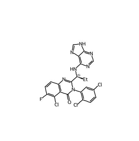 CC[C@H](Nc1ncnc2[nH]cnc12)c1nc2ccc(F)c(Cl)c2c(=O)n1-c1cc(Cl)ccc1Cl